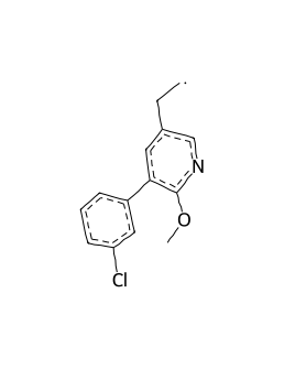 [CH2]Cc1cnc(OC)c(-c2cccc(Cl)c2)c1